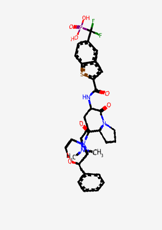 CN(C)CCCC(NC(=O)c1cc2cc(C(F)(F)P(=O)(O)O)ccc2s1)C(=O)N1CCCC1C(=O)N1CCOC(c2ccccc2)C1